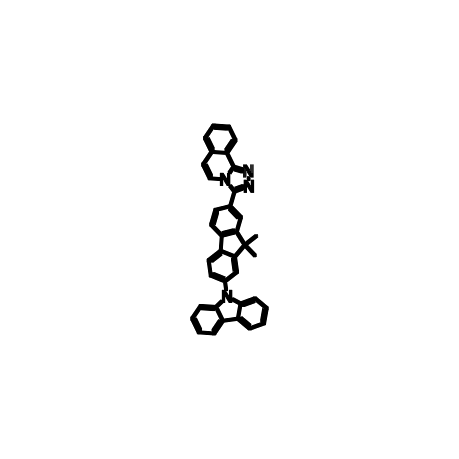 CC1(C)c2cc(-c3nnc4c5ccccc5ccn34)ccc2-c2ccc(-n3c4ccccc4c4ccccc43)cc21